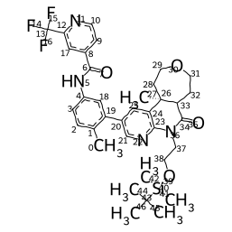 Cc1ccc(NC(=O)c2ccnc(C(F)(F)F)c2)cc1-c1cnc2c(c1)[C@@]1(C)CCOCCC1C(=O)N2CCO[Si](C)(C)C(C)(C)C